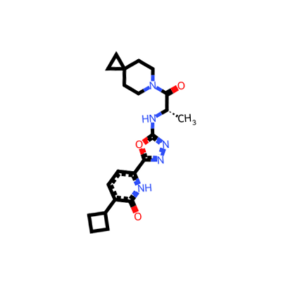 C[C@H](Nc1nnc(-c2ccc(C3CCC3)c(=O)[nH]2)o1)C(=O)N1CCC2(CC1)CC2